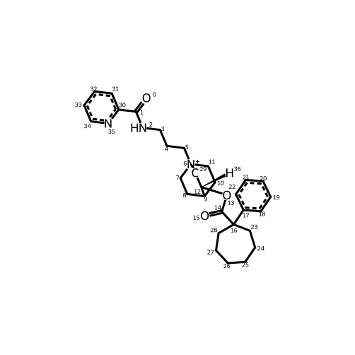 O=C(NCCC[N+]12CCC(CC1)[C@@H](OC(=O)C1(c3ccccc3)CCCCCC1)C2)c1ccccn1